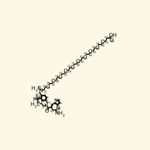 CCCN(Cc1ccc(CN(C)CCOCCOCCOCCOCCOCCOCCOCCOCCOCCOCCC(=O)O)c(C(F)(F)F)c1)C(=O)C1=Cc2sccc2N=C(N)C1